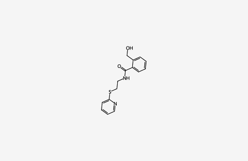 O=C(NCCSc1ccccn1)c1ccccc1CO